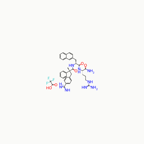 C[C@](Cc1ccc(C(=N)N)cc1)(C(=O)N[C@@H](Cc1ccc2ccccc2c1)C(=O)N[C@@H](CCCNC(=N)N)C(N)=O)c1ccccc1.O=C(O)C(F)(F)F